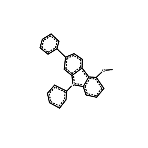 COc1cccc2c1c1ccc(-c3ccccc3)cc1n2-c1ccccc1